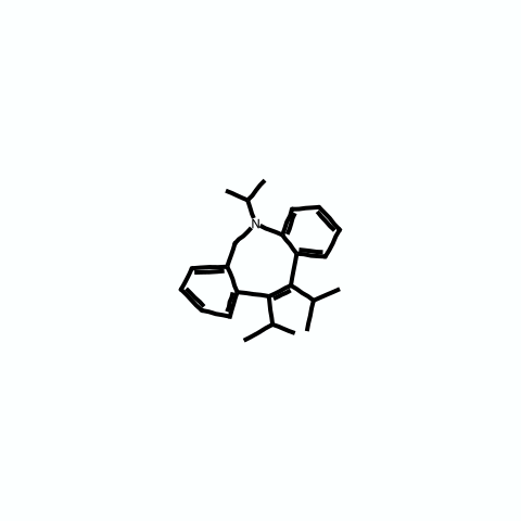 CC(C)/C1=C(\C(C)C)c2ccccc2N(C(C)C)Cc2ccccc21